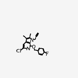 C#CCn1c(C)c(C)c2cc(Cl)nc(OCc3ccc(F)cc3)c21